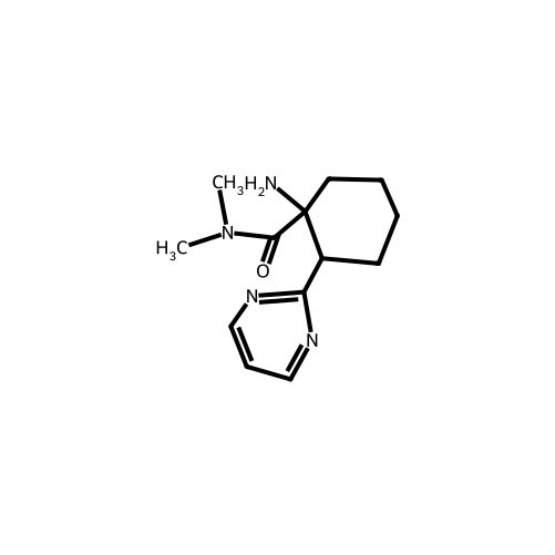 CN(C)C(=O)C1(N)CCCCC1c1ncccn1